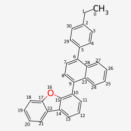 CCc1ccc(-c2ccc(-c3cccc4c3oc3ccccc34)c3ccccc23)cc1